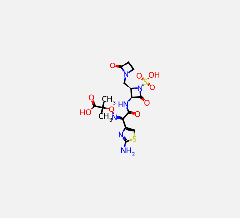 CC(C)(ON=C(C(=O)N[C@@H]1C(=O)N(S(=O)(=O)O)[C@@H]1CN1CCC1=O)c1csc(N)n1)C(=O)O